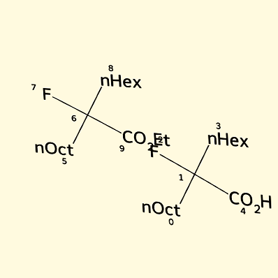 CCCCCCCCC(F)(CCCCCC)C(=O)O.CCCCCCCCC(F)(CCCCCC)C(=O)OCC